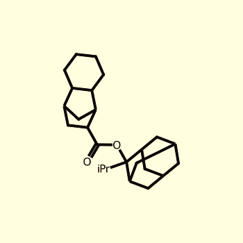 CC(C)C1(OC(=O)C2CC3CC2C2CCCCC32)C2CC3CC(C2)CC1C3